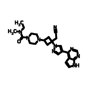 CCN(C)C(=O)N1CCN(C2CC(CC#N)(n3cc(-c4ncnc5[nH]ccc45)cn3)C2)CC1